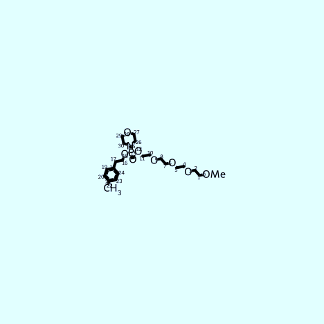 COCCOCCOCCOCCOP(=O)(OCCc1ccc(C)cc1)N1CCOCC1